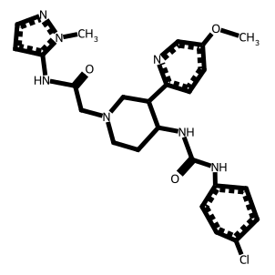 COc1ccc(C2CN(CC(=O)Nc3ccnn3C)CCC2NC(=O)Nc2ccc(Cl)cc2)nc1